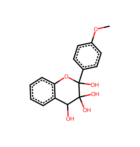 COc1ccc(C2(O)Oc3ccccc3C(O)C2(O)O)cc1